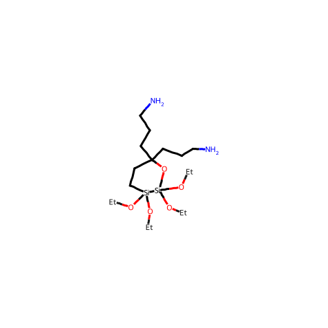 CCO[Si]1(OCC)CCC(CCCN)(CCCN)O[Si]1(OCC)OCC